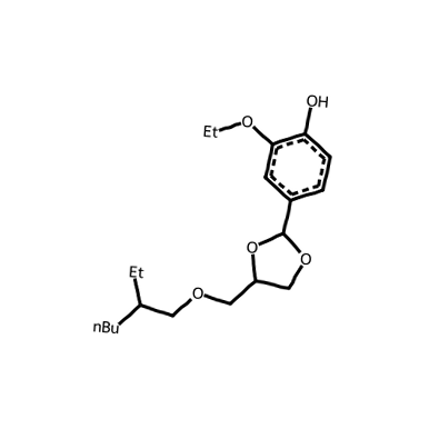 CCCCC(CC)COCC1COC(c2ccc(O)c(OCC)c2)O1